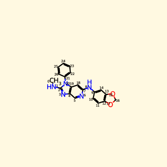 CNc1nc2cnc(Nc3ccc4c(c3)OCO4)cc2n1-c1ccccc1